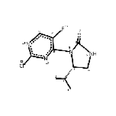 CC(C)[C@H]1CNC(=O)N1c1nc(Cl)ncc1F